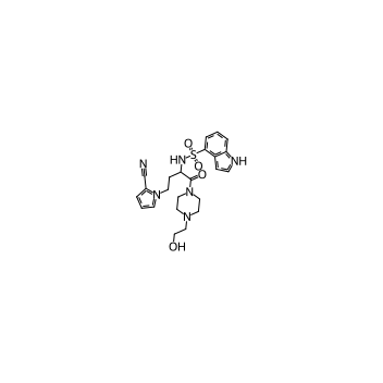 N#Cc1cccn1CCC(NS(=O)(=O)c1cccc2[nH]ccc12)C(=O)N1CCN(CCO)CC1